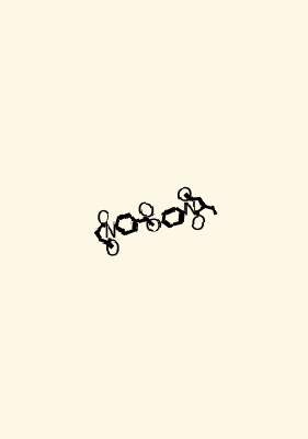 CCC1=CC(=O)N(c2ccc(OC(=O)c3ccc(N4C(=O)C=CC4=O)cc3)cc2)C1=O